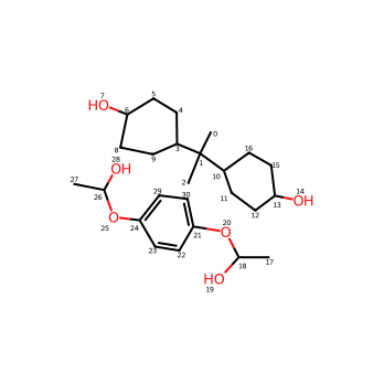 CC(C)(C1CCC(O)CC1)C1CCC(O)CC1.CC(O)Oc1ccc(OC(C)O)cc1